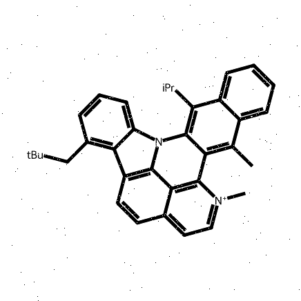 Cc1c2ccccc2c(C(C)C)c2c1c1c3c(ccc4c5c(CC(C)(C)C)cccc5n2c43)cc[n+]1C